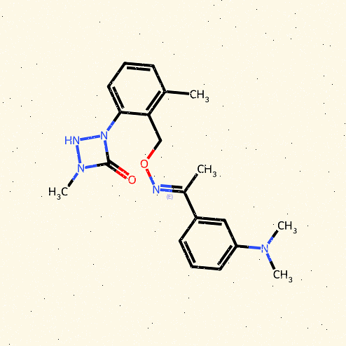 C/C(=N\OCc1c(C)cccc1-n1[nH]n(C)c1=O)c1cccc(N(C)C)c1